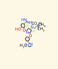 CN(C)CCN(CC(=O)O)c1c(F)c(Oc2cccc(-c3nccn3C)c2)nc(Oc2cc(C(=N)N)ccc2O)c1F